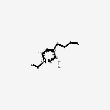 CCCCc1cc[n+](CC)cc1.[F-]